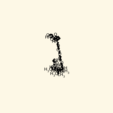 CC(C)C[C@H](NC(=O)[C@@H](NC(=O)[C@H](C)NC(=O)CCOCCOCCOCCOCCOCCNc1cccc2c1C(=O)N(C1CCC(=O)NC1=O)C2=O)C(C)C)C(=O)N[C@H](N)C[C@@H]1CCNC1=O